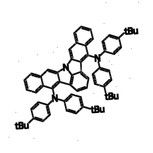 CC(C)(C)c1ccc(N(c2ccc(C(C)(C)C)cc2)c2c3ccccc3cc3c2c2cccc4c5c(N(c6ccc(C(C)(C)C)cc6)c6ccc(C(C)(C)C)cc6)c6ccccc6cc5n3c24)cc1